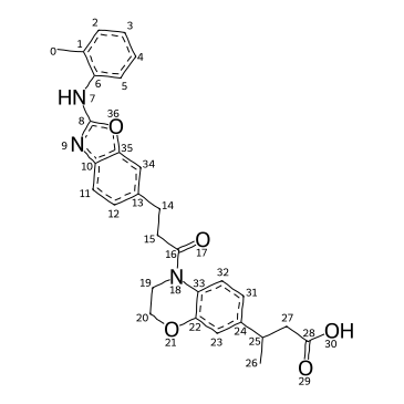 Cc1ccccc1Nc1nc2ccc(CCC(=O)N3CCOc4cc(C(C)CC(=O)O)ccc43)cc2o1